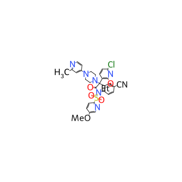 CCOc1nc(Cl)ccc1C1(N2CCN(c3ccnc(C)c3)CC2)C(=O)N(S(=O)(=O)c2ccc(OC)cn2)c2ccc(C#N)cc21